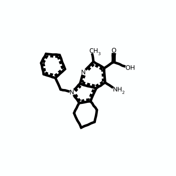 Cc1nc2c(c(N)c1C(=O)O)c1c(n2Cc2ccccc2)CCCC1